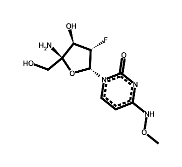 CONc1ccn([C@@H]2O[C@](N)(CO)[C@@H](O)[C@@H]2F)c(=O)n1